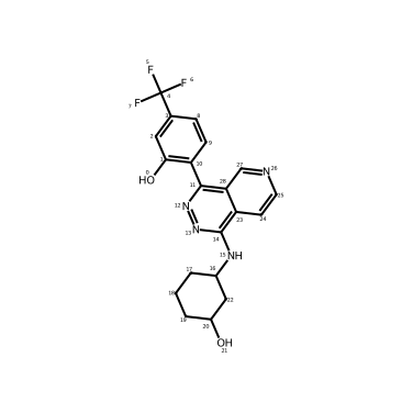 Oc1cc(C(F)(F)F)ccc1-c1nnc(NC2CCCC(O)C2)c2ccncc12